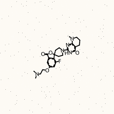 CN(C)CCOc1cc(F)c2c(c1)C(=O)OC21CCN(c2nc3c(c(=O)[nH]2)CCCN3C)CC1